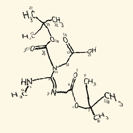 CNC(=NC(=O)OC(C)(C)C)N(CC(=O)O)C(=O)OC(C)(C)C